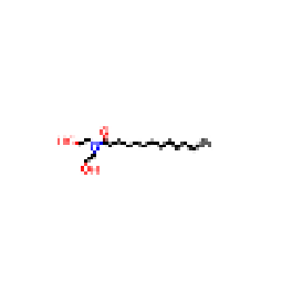 CC(C)CCCCCCCCCCCC(=O)N(CCO)CCO